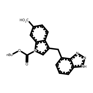 CCCCOC(=O)n1cc(Cc2cccc3[nH]nnc23)c2ccc(C(=O)O)cc21